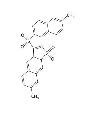 Cc1ccc2c(c1)=CC1C(C=2)C2=C(c3c(ccc4cc(C)ccc34)S2(=O)=O)S1(=O)=O